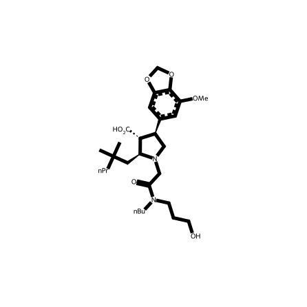 CCCCN(CCCO)C(=O)CN1C[C@H](c2cc(OC)c3c(c2)OCO3)[C@@H](C(=O)O)[C@@H]1CC(C)(C)CCC